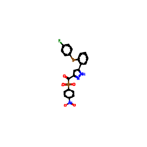 O=C(c1cc(-c2ccccc2Sc2ccc(F)cc2)[nH]n1)S(=O)(=O)c1ccc([N+](=O)[O-])cc1